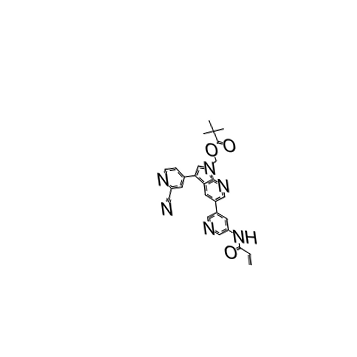 C=CC(=O)Nc1cncc(-c2cnc3c(c2)c(-c2ccnc(C#N)c2)cn3COC(=O)C(C)(C)C)c1